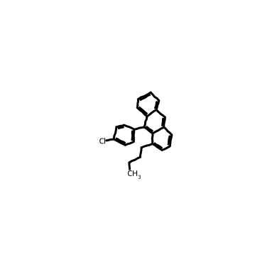 CCCCc1cccc2cc3ccccc3c(-c3ccc(Cl)cc3)c12